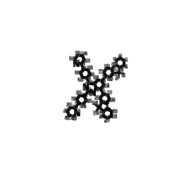 CC1(C)c2ccccc2-c2ccc(-c3cc(-c4ccc5c(c4)C(C)(C)c4ccccc4-5)c4nc(-c5ccc(-c6ccccn6)cc5)nc(-c5ccc(-c6ccccn6)cc5)c4c3)cc21